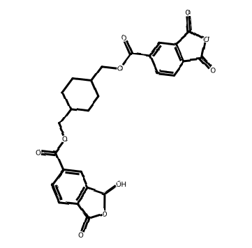 O=C(OCC1CCC(COC(=O)c2ccc3c(c2)C(O)OC3=O)CC1)c1ccc2c(c1)C(=O)OC2=O